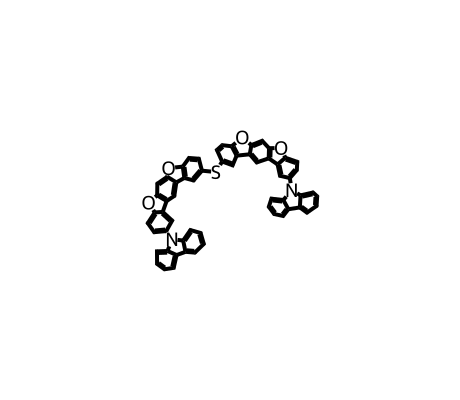 c1ccc2c(c1)c1ccccc1n2-c1ccc2oc3cc4oc5ccc(Sc6ccc7oc8cc9oc%10ccc(-n%11c%12ccccc%12c%12ccccc%12%11)cc%10c9cc8c7c6)cc5c4cc3c2c1